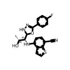 C[C@@H](O)[C@@H](Nc1ccc(C#N)c2sccc12)C1NN=C(c2ccc(F)cc2)O1